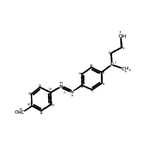 CN(CCO)c1ccc(/N=N/c2ccc(C=O)cc2)cc1